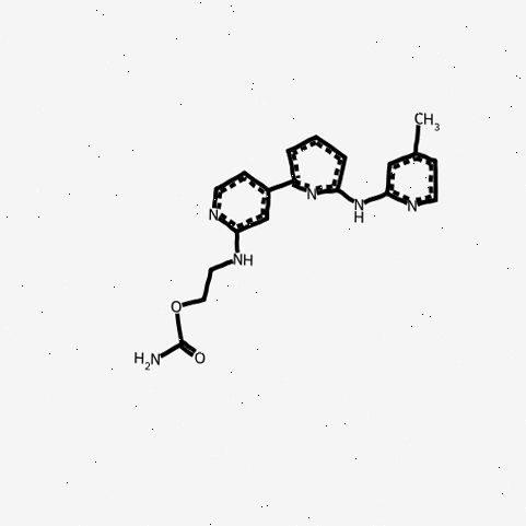 Cc1ccnc(Nc2cccc(-c3ccnc(NCCOC(N)=O)c3)n2)c1